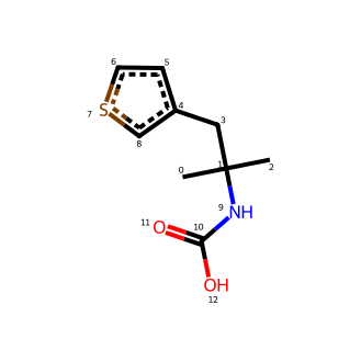 CC(C)(Cc1ccsc1)NC(=O)O